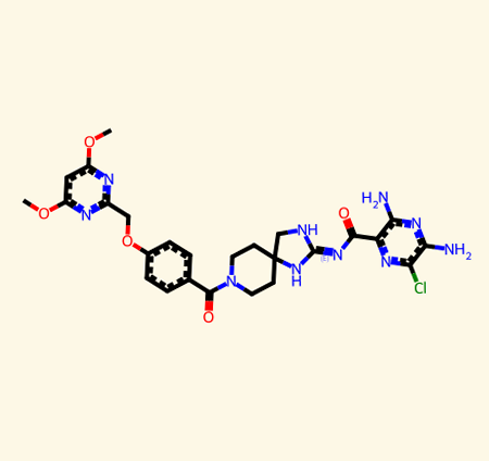 COc1cc(OC)nc(COc2ccc(C(=O)N3CCC4(CC3)CN/C(=N\C(=O)c3nc(Cl)c(N)nc3N)N4)cc2)n1